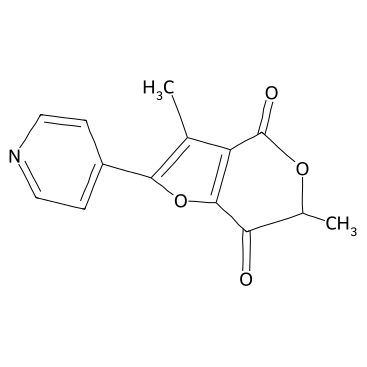 Cc1c(-c2ccncc2)oc2c1C(=O)OC(C)C2=O